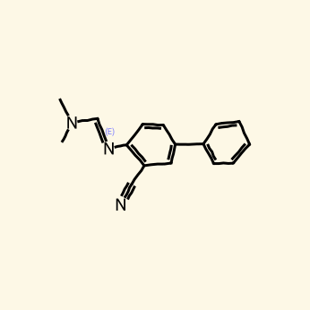 CN(C)/C=N/c1ccc(-c2ccccc2)cc1C#N